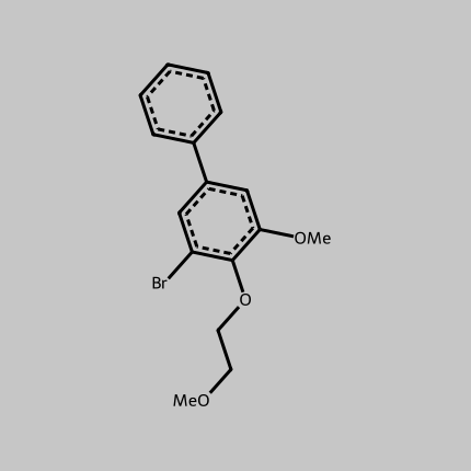 COCCOc1c(Br)cc(-c2ccccc2)cc1OC